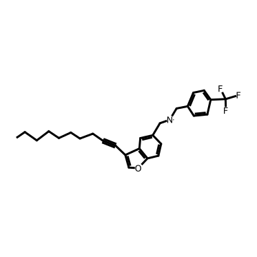 CCCCCCCCC#Cc1coc2ccc(C[N]Cc3ccc(C(F)(F)F)cc3)cc12